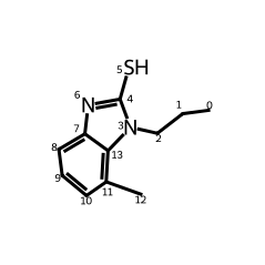 CCCn1c(S)nc2cccc(C)c21